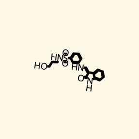 O=C1Nc2ccccc2C1=CNc1cccc(S(=O)(=O)NCCCO)c1